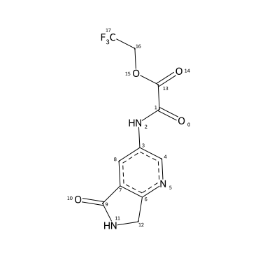 O=C(Nc1cnc2c(c1)C(=O)NC2)C(=O)OCC(F)(F)F